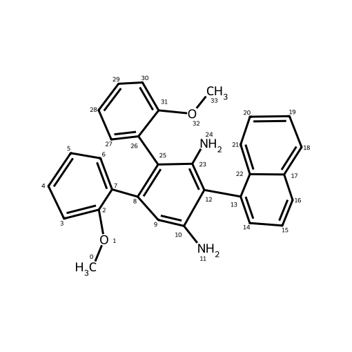 COc1ccccc1-c1cc(N)c(-c2cccc3ccccc23)c(N)c1-c1ccccc1OC